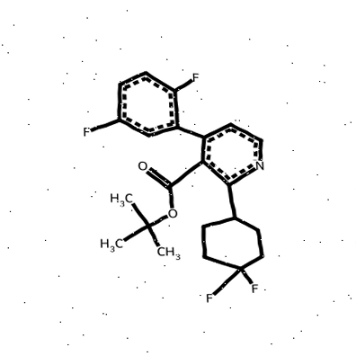 CC(C)(C)OC(=O)c1c(-c2cc(F)ccc2F)ccnc1C1CCC(F)(F)CC1